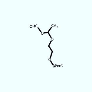 CCCCCOCCOC(C)O[C]=O